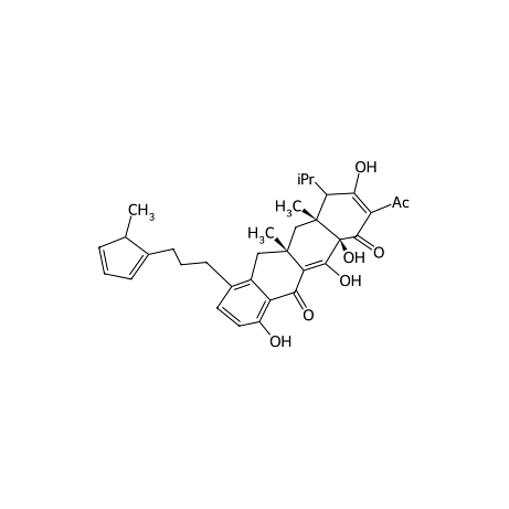 CC(=O)C1=C(O)C(C(C)C)[C@@]2(C)C[C@@]3(C)Cc4c(CCCC5=CC=CC5C)ccc(O)c4C(=O)C3=C(O)[C@@]2(O)C1=O